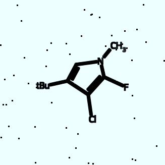 Cn1cc(C(C)(C)C)c(Cl)c1F